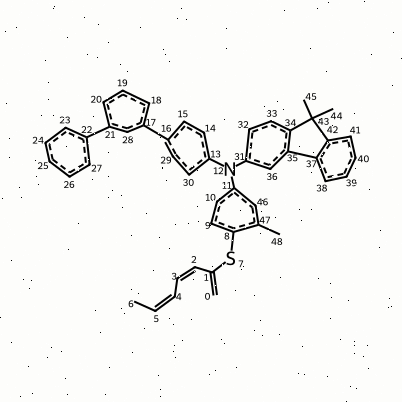 C=C(/C=C\C=C/C)Sc1ccc(N(c2ccc(-c3cccc(-c4ccccc4)c3)cc2)c2ccc3c(c2)-c2ccccc2C3(C)C)cc1C